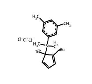 CCC(C)C1=CC=C[C]1([Ti+3])[Si](C)(C)c1cc(C)cc(C)c1.[Cl-].[Cl-].[Cl-]